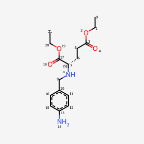 CCOC(=O)CC[C@H](NCc1ccc(N)cc1)C(=O)OCC